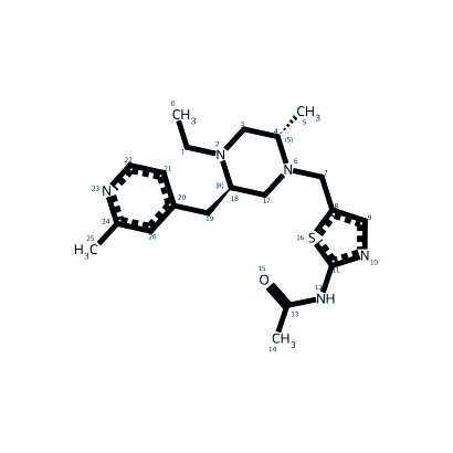 CCN1C[C@H](C)N(Cc2cnc(NC(C)=O)s2)C[C@H]1Cc1ccnc(C)c1